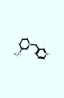 C[C@H]1CCCN(Cc2cccnc2)C1